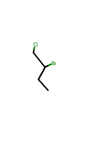 CCC(Br)CCl